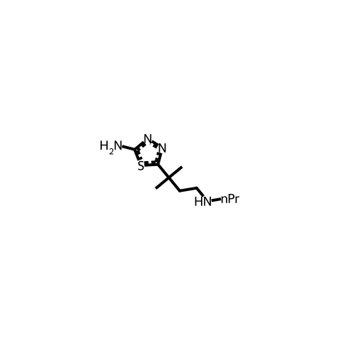 CCCNCCC(C)(C)c1nnc(N)s1